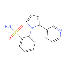 NS(=O)(=O)c1ccccc1-n1cccc1-c1cccnc1